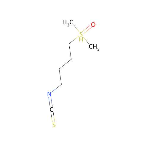 C[SH](C)(=O)CCCCN=C=S